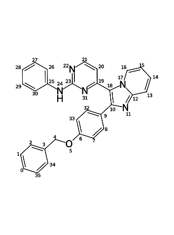 c1ccc(COc2ccc(-c3nc4ccccn4c3-c3ccnc(Nc4ccccc4)n3)cc2)cc1